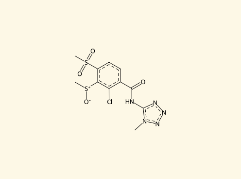 Cn1nnnc1NC(=O)c1ccc(S(C)(=O)=O)c([S+](C)[O-])c1Cl